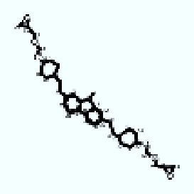 CC1c2cc(CCC3CCC(OCOCC4CO4)CC3)ccc2-c2ccc(CCC3CCC(OCOCC4CO4)CC3)cc21